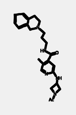 CC(=O)N1CC(Nc2cc(C(=O)NCCCN3CCc4ccccc4C3)c(C)cn2)C1